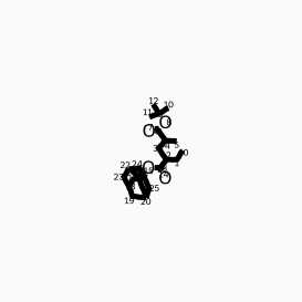 CCC(CC(C)C(=O)OC(C)(C)C)C(=O)OC12CC3CC(CC(C3)C1)C2